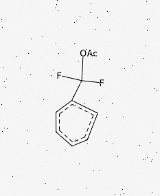 CC(=O)OC(F)(F)c1ccccc1